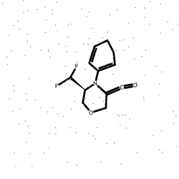 O=C=C1COC[C@@H](C(F)F)N1C1=CCCC=C1